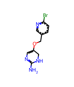 NC1=NC=C(OCc2ccc(Br)nc2)CN1